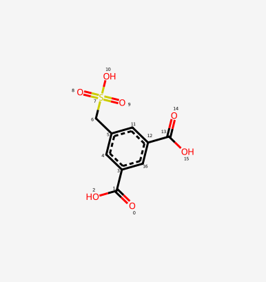 O=C(O)c1cc(CS(=O)(=O)O)cc(C(=O)O)c1